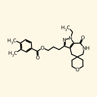 CCn1nc(CCCOC(=O)c2ccc(C)c(C)c2)c2c1C(=O)NCC1(CCOCC1)C2